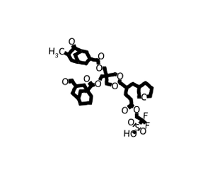 CC1CC2CC(C(=O)OCC3(COC(=O)C45CCCC(CC(C=O)C4)C5)COC(C(CCC(=O)OCC(F)(F)S(=O)(=O)O)CC4CCCCC4)OC3)CC(C2)C1=O